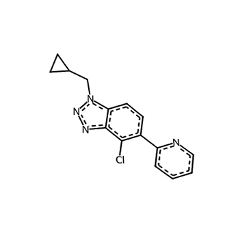 Clc1c(-c2ccccn2)ccc2c1nnn2CC1CC1